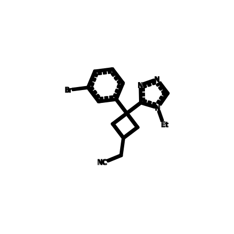 CCn1cnnc1C1(c2cccc(Br)c2)CC(CC#N)C1